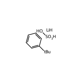 CC(C)(C)c1ccccc1.O=S(=O)(O)O.[LiH]